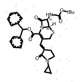 CC(C)(C)OC(=O)N[C@@H]1C(=O)N2C(C(=O)OC(c3ccccc3)c3ccccc3)=C(C=C3CCN(C4CC4)C3=O)CS[C@H]12